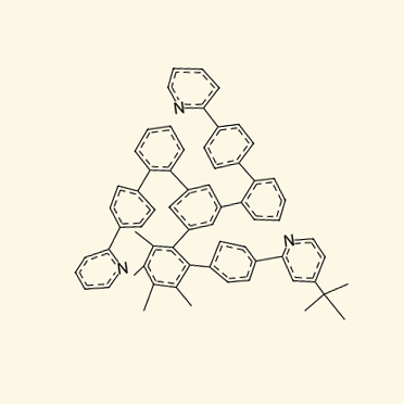 Cc1c(C)c(C)c(-c2cc(-c3ccccc3-c3ccc(-c4ccccn4)cc3)cc(-c3ccccc3-c3ccc(-c4ccccn4)cc3)c2)c(-c2ccc(-c3cc(C(C)(C)C)ccn3)cc2)c1C